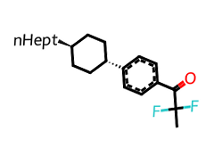 CCCCCCC[C@H]1CC[C@H](c2ccc(C(=O)C(C)(F)F)cc2)CC1